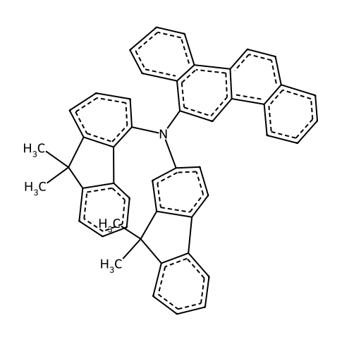 CC1(C)c2ccccc2-c2ccc(N(c3cccc4c3-c3ccccc3C4(C)C)c3cc4c5ccccc5ccc4c4ccccc34)cc21